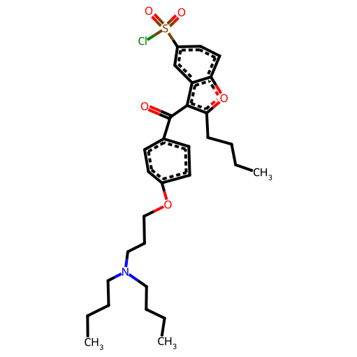 CCCCc1oc2ccc(S(=O)(=O)Cl)cc2c1C(=O)c1ccc(OCCCN(CCCC)CCCC)cc1